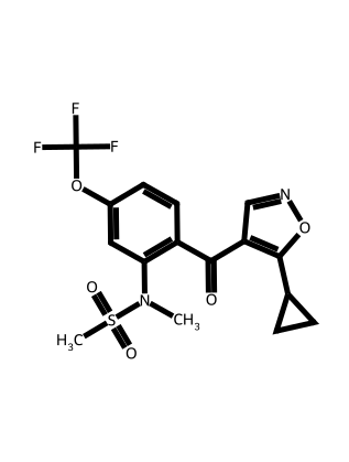 CN(c1cc(OC(F)(F)F)ccc1C(=O)c1cnoc1C1CC1)S(C)(=O)=O